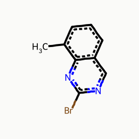 Cc1cccc2cnc(Br)nc12